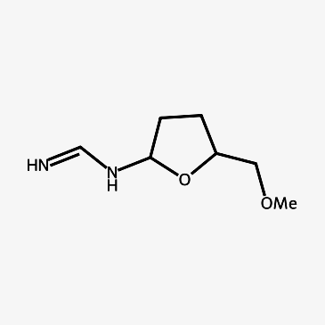 COCC1CCC(NC=N)O1